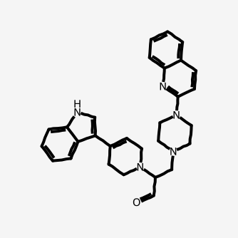 O=CC(CN1CCN(c2ccc3ccccc3n2)CC1)N1CC=C(c2c[nH]c3ccccc23)CC1